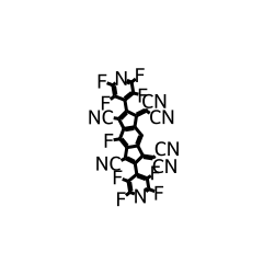 N#CC(C#N)=C1C(c2c(F)c(F)nc(F)c2F)=C(C#N)c2c1cc1c(c2F)C(C#N)=C(c2c(F)c(F)nc(F)c2F)C1=C(C#N)C#N